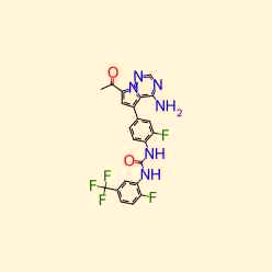 CC(=O)c1cc(-c2ccc(NC(=O)Nc3cc(C(F)(F)F)ccc3F)c(F)c2)c2c(N)ncnn12